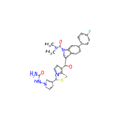 CN(C)C(=O)n1cc(C(=O)c2ccn3c2CSC3C2=CN(NC(N)=O)CC=C2)c2ccc(-c3ccc(F)cc3)cc21